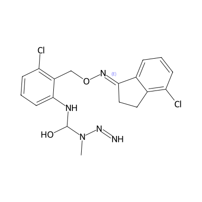 CN(N=N)C(O)Nc1cccc(Cl)c1CO/N=C1\CCc2c(Cl)cccc21